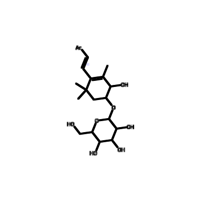 CC(=O)/C=C/C1=C(C)C(O)C(OC2OC(CO)C(O)C(O)C2O)CC1(C)C